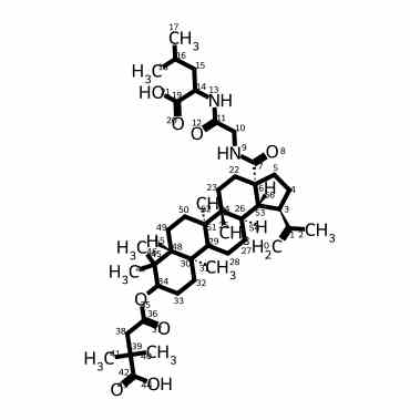 C=C(C)[C@@H]1CC[C@]2(C(=O)NCC(=O)NC(CC(C)C)C(=O)O)CC[C@]3(C)[C@H](CCC4[C@@]5(C)CCC(OC(=O)CC(C)(C)C(=O)O)C(C)(C)[C@@H]5CC[C@]43C)[C@@H]12